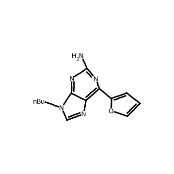 CCCCn1cnc2c(-c3ccco3)nc(N)nc21